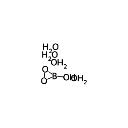 O.O.O.O.OB1OO1